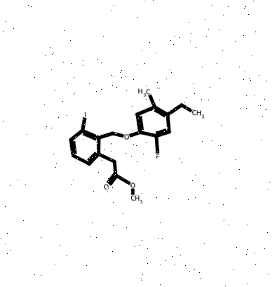 CCc1cc(F)c(OCc2c(I)cccc2CC(=O)OC)cc1C